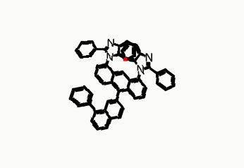 c1ccc(-c2cccc3ccc(-c4c5cccc(-n6c(-c7ccccc7)nc7ccccc76)c5cc5c(-n6c(-c7ccccc7)nc7ccccc76)cccc45)cc23)cc1